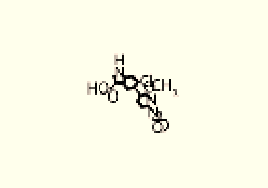 COc1nc(N2CC3(CCCO3)C2)ccc1-c1cc2c(C(=O)O)c[nH]c2cc1Cl